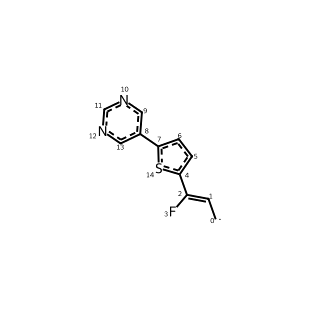 [CH2]/C=C(\F)c1ccc(-c2cncnc2)s1